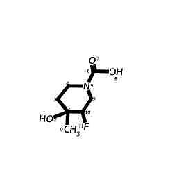 CC1(O)CCN(C(=O)O)CC1F